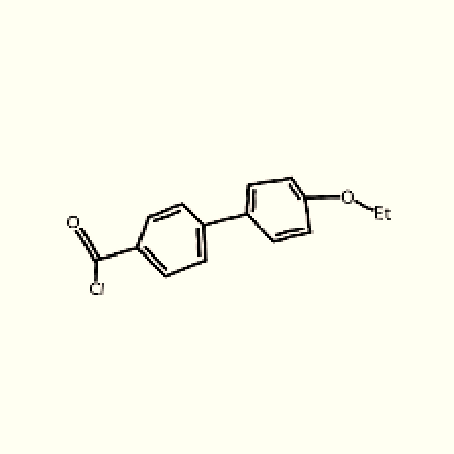 CCOc1ccc(-c2ccc(C(=O)Cl)cc2)cc1